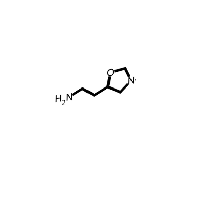 NCCC1C[N]CO1